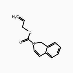 C=CCOC(=O)N1C=Cc2ccccc2C1